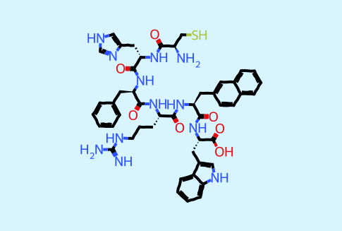 N=C(N)NCCC[C@H](NC(=O)[C@@H](Cc1ccccc1)NC(=O)[C@H](Cc1c[nH]cn1)NC(=O)[C@H](N)CS)C(=O)N[C@@H](Cc1ccc2ccccc2c1)C(=O)N[C@@H](Cc1c[nH]c2ccccc12)C(=O)O